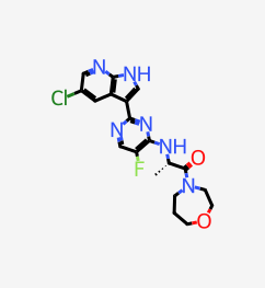 C[C@H](Nc1nc(-c2c[nH]c3ncc(Cl)cc23)ncc1F)C(=O)N1CCCOCC1